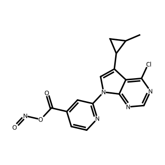 CC1CC1c1cn(-c2cc(C(=O)ON=O)ccn2)c2ncnc(Cl)c12